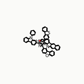 c1ccc(-n2c3ccccc3c3ccc(C4N=C(c5ccc6oc7ccccc7c6c5-n5c6cc7ccccc7cc6c6ccc7ccccc7c65)N=C(c5ccc6sc7ccccc7c6c5)N4)cc32)cc1